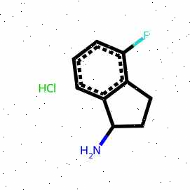 Cl.NC1CCc2c(F)cccc21